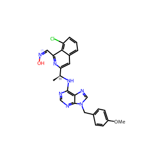 COc1ccc(Cn2cnc3c(N[C@@H](C)c4cc5cccc(Cl)c5c(/C=N\O)n4)ncnc32)cc1